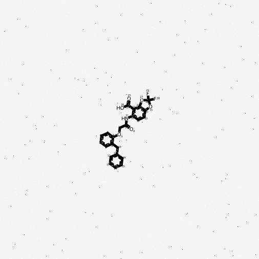 O=C(COc1ccccc1Cc1ccccc1)Nc1ccc2c(c1C(=O)O)OC(F)(F)O2